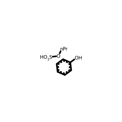 CCCOS(=O)(=O)O.Oc1ccccc1